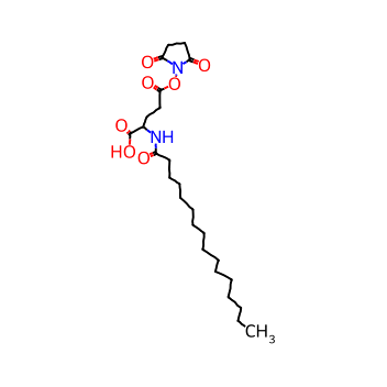 CCCCCCCCCCCCCCCC(=O)NC(CCC(=O)ON1C(=O)CCC1=O)C(=O)O